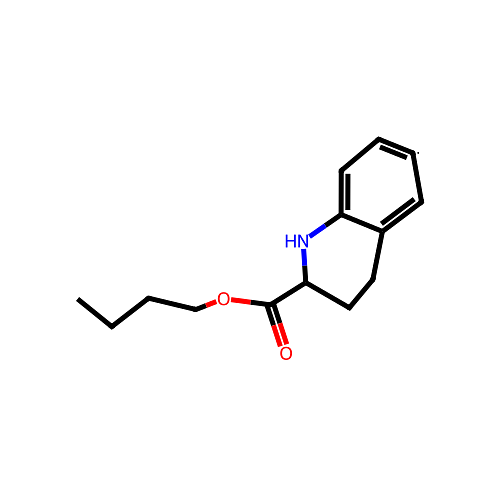 CCCCOC(=O)C1CCc2c[c]ccc2N1